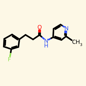 Cc1cc(NC(=O)CCc2cccc(F)c2)ccn1